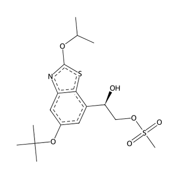 CC(C)Oc1nc2cc(OC(C)(C)C)cc([C@@H](O)COS(C)(=O)=O)c2s1